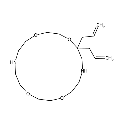 C=CCC1(CC=C)CNCCOCCOCCNCCOCCO1